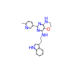 Cc1ccc(-c2nc3c(c(NCCc4c[nH]c5ccccc45)n2)OCCN3)cn1